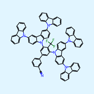 N#Cc1cccc(-c2cc(-n3c4ccc(-n5c6ccccc6c6ccccc65)cc4c4cc(-n5c6ccccc6c6ccccc65)ccc43)c(C(F)(F)F)c(-n3c4ccc(-n5c6ccccc6c6ccccc65)cc4c4cc(-n5c6ccccc6c6ccccc65)ccc43)c2)c1